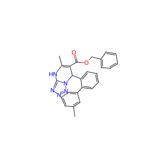 CC1=C(C(=O)OCc2ccccc2)C(c2ccccc2-c2cccc(C)c2)n2nnnc2N1